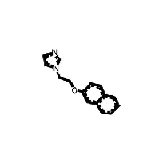 c1ccc2cc(OCCn3ccnc3)ccc2c1